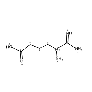 N=C(N)N(N)CCCC(=O)O